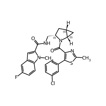 Cc1nc(C(=O)N2[C@H](CNC(=O)c3cc4cc(F)ccc4n3C)C[C@@H]3C[C@@H]32)c(-c2cccc(Cl)c2)s1